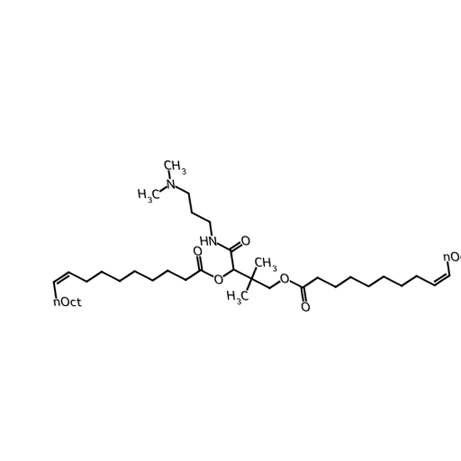 CCCCCCCC/C=C\CCCCCCCC(=O)OCC(C)(C)C(OC(=O)CCCCCCC/C=C\CCCCCCCC)C(=O)NCCCN(C)C